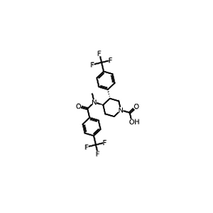 CN(C(=O)c1ccc(C(F)(F)F)cc1)[C@@H]1CCN(C(=O)O)C[C@H]1c1ccc(C(F)(F)F)cc1